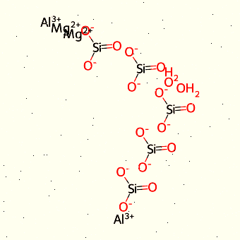 O.O.O=[Si]([O-])[O-].O=[Si]([O-])[O-].O=[Si]([O-])[O-].O=[Si]([O-])[O-].O=[Si]([O-])[O-].[Al+3].[Al+3].[Mg+2].[Mg+2]